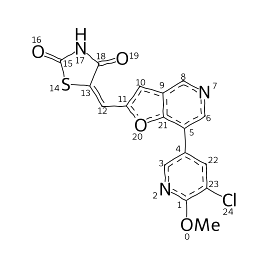 COc1ncc(-c2cncc3cc(/C=C4/SC(=O)NC4=O)oc23)cc1Cl